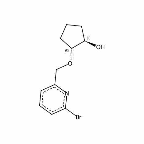 O[C@@H]1CCC[C@H]1OCc1cccc(Br)n1